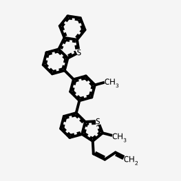 C=C/C=C\c1c(C)sc2c(-c3cc(C)cc(-c4cccc5c4sc4ccccc45)c3)cccc12